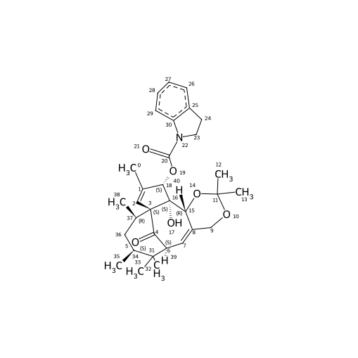 CC1=C[C@]23C(=O)[C@@H](C=C4COC(C)(C)O[C@H]4[C@]2(O)[C@H]1OC(=O)N1CCc2ccccc21)C(C)(C)[C@@H](C)C[C@H]3C